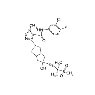 Cn1cnc(C2CC3CC(O)(C#CC(C)(C)S(C)(=O)=O)CC3C2)c1C(=O)Nc1ccc(F)c(Cl)c1